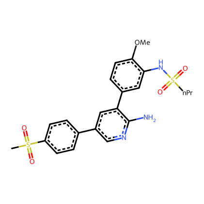 CCCS(=O)(=O)Nc1cc(-c2cc(-c3ccc(S(C)(=O)=O)cc3)cnc2N)ccc1OC